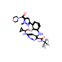 BC(B)(B)NC(=O)c1nnc(NC(=O)C2CC2)cc1Nc1cccc(-c2cc(C(=O)N3CCOCC3)n(C)n2)c1OC